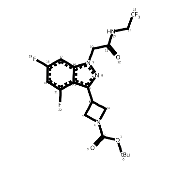 CC(C)(C)OC(=O)N1CC(c2nn(CC(=O)NCC(F)(F)F)c3cc(F)cc(F)c23)C1